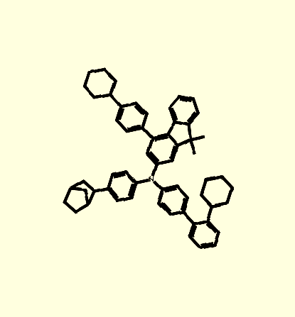 CC1(C)c2ccccc2-c2c(-c3ccc(C4CCCCC4)cc3)cc(N(c3ccc(-c4ccccc4C4CCCCC4)cc3)c3ccc(C4CC5CCC4C5)cc3)cc21